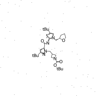 CC(C)(C)OC(=O)N1CC(Cn2nc(C(C)(C)C)cc2C(=O)/N=c2\sc(C(C)(C)C)cn2C[C@H]2CCCO2)C1